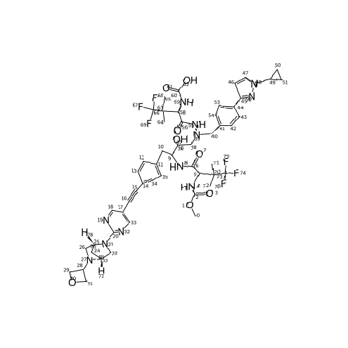 COC(=O)NC(C(=O)NC(Cc1ccc(C#Cc2cnc(N3C[C@H]4C[C@@H]3CN4C3COC3)nc2)cc1)C(O)CN(Cc1ccc(-c2ccn(C3CC3)n2)cc1)NC(=O)C(NC(=O)O)C(C)(C)C(F)(F)F)C(C)(C)C(F)(F)F